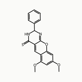 COc1cc(OC)c2c(c1)OC1=NC(c3ccccc3)NC(=S)C1=C2